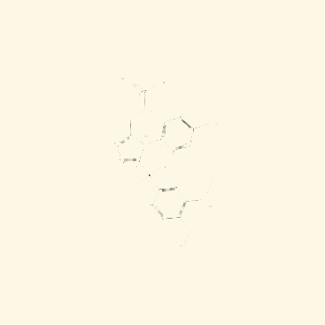 COc1ccc(C(C)(C)c2nnc(SCC(=O)O)n2-c2ccc(F)cc2)cc1OC